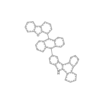 c1ccc2c(c1)oc1c(-c3c4ccccc4c(-c4ccc5[nH]c6c7ccccc7c7ccccc7c6c5c4)c4ccccc34)cccc12